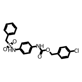 O=C(Nc1ccc(NS(=O)(=O)Cc2ccccc2)cc1)OCc1ccc(Cl)cc1